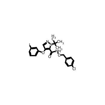 CC(C)(C)n1ncc(Oc2cccc(I)c2)c1C(=O)NOCc1ccc(Cl)cc1